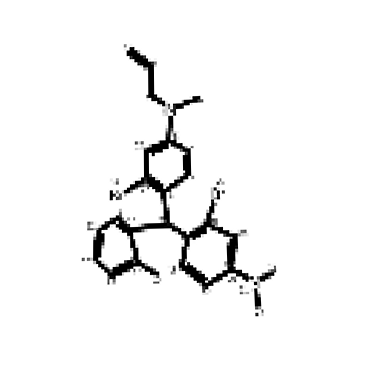 C=CCN(C)c1ccc(C(c2ccccc2C)c2ccc(N(C)C)cc2Br)c(Br)c1